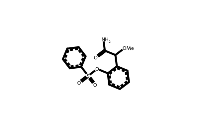 COC(C(N)=O)c1ccccc1OS(=O)(=O)c1ccccc1